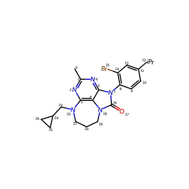 Cc1nc2c3c(n1)n(-c1ccc(C(C)C)cc1Br)c(=O)n3CCCN2CC1CC1